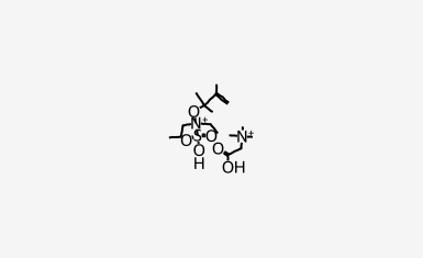 C=C(C)C(C)(C)O[N+](CC)(CCC)S(=O)(=O)O.C[N+](C)(C)CC(=O)O